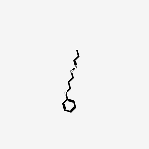 CC/C=N/OCCCOc1ccccc1